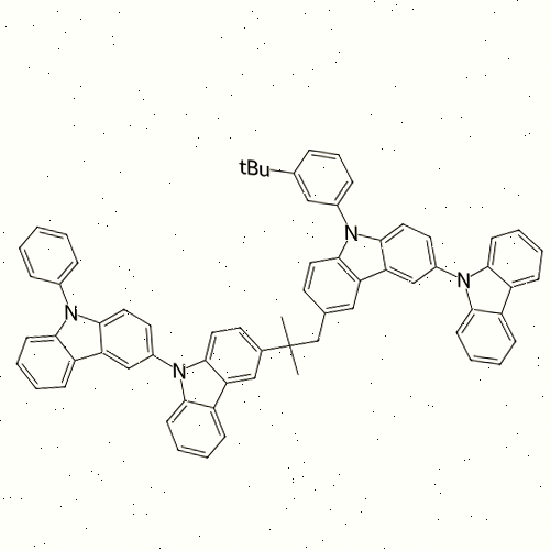 CC(C)(C)c1cccc(-n2c3ccc(CC(C)(C)c4ccc5c(c4)c4ccccc4n5-c4ccc5c(c4)c4ccccc4n5-c4ccccc4)cc3c3cc(-n4c5ccccc5c5ccccc54)ccc32)c1